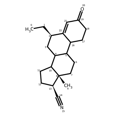 CC[C@@H]1CC2C(CC[C@@]3(C)C2CC[C@@H]3C#N)C2CCC(=O)C=C21